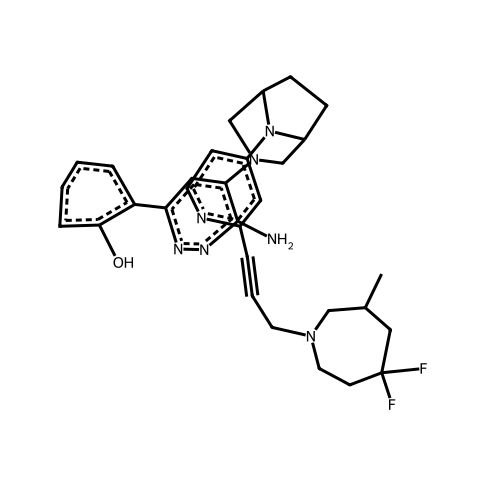 CC1CN(CC#Cc2cc(N3C4CCC3CN(c3cc(-c5ccccc5O)nnc3N)C4)ccn2)CCC(F)(F)C1